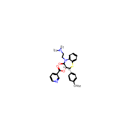 CCN(CC)CCN1C(=O)[C@@H](OC(=O)c2cccnc2)[C@@H](c2ccc(OC)cc2)Sc2ccccc21